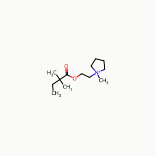 CCC(C)(C)C(=O)OCC[N+]1(C)CCCC1